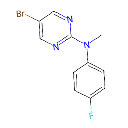 CN(c1ccc(F)cc1)c1ncc(Br)cn1